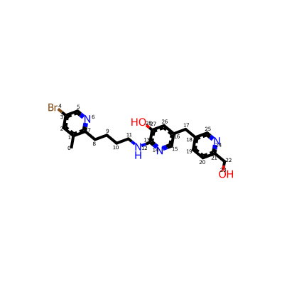 Cc1cc(Br)cnc1CCCCNc1ncc(Cc2ccc(CO)nc2)cc1O